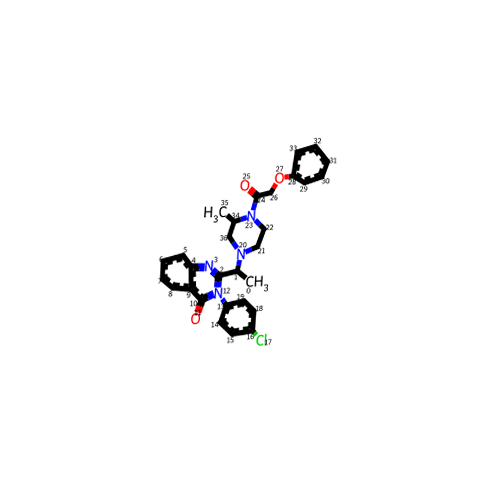 CC(c1nc2ccccc2c(=O)n1-c1ccc(Cl)cc1)N1CCN(C(=O)COc2ccccc2)C(C)C1